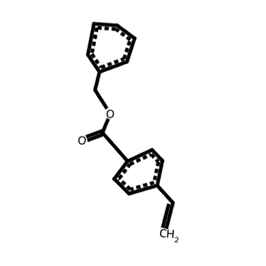 C=Cc1ccc(C(=O)OCc2ccccc2)cc1